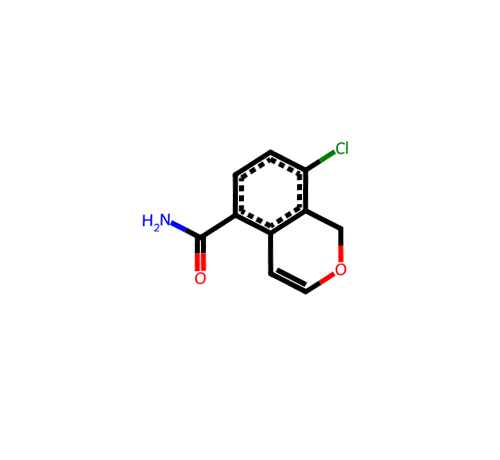 NC(=O)c1ccc(Cl)c2c1C=COC2